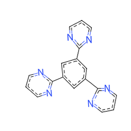 c1cnc(-c2cc(-c3ncccn3)cc(-c3ncccn3)c2)nc1